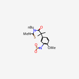 CCCCN(C(=O)C(C)(C)c1ccc(OC)c(N=S(=O)=O)c1)C(=S)NC